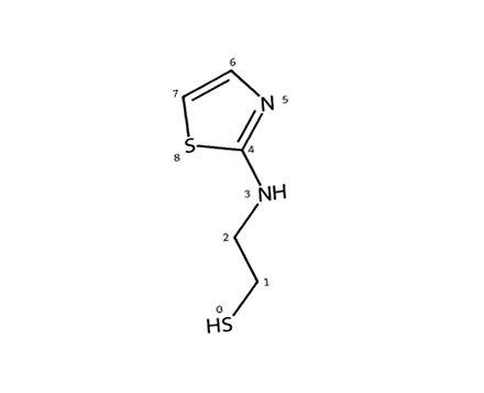 SCCNc1nccs1